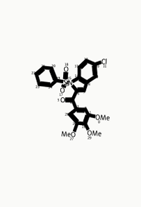 COc1cc(C(=O)c2cc3cc(Cl)ccc3n2S(=O)(=O)c2ccccc2)cc(OC)c1OC